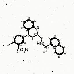 Cc1ccc(C2C[C@H](CN[C@H](C)c3cccc4ccccc34)Oc3ccccc32)cc1C(=O)O